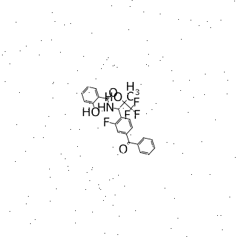 CC(O)(C(NC(=O)c1ccccc1O)c1ccc(C(=O)c2ccccc2)cc1F)C(F)(F)F